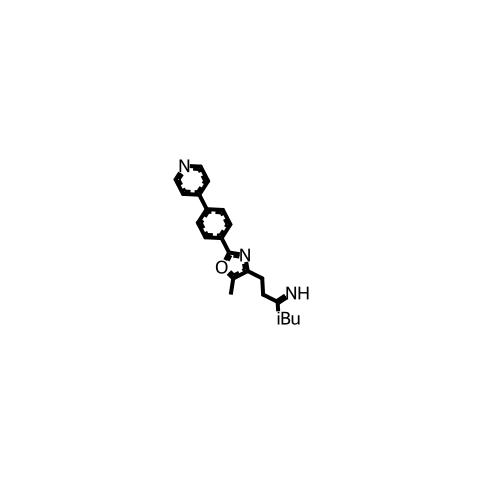 CCC(C)C(=N)CCc1nc(-c2ccc(-c3ccncc3)cc2)oc1C